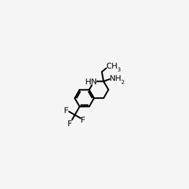 CCC1(N)CCc2cc(C(F)(F)F)ccc2N1